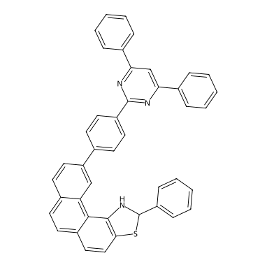 c1ccc(-c2cc(-c3ccccc3)nc(-c3ccc(-c4ccc5ccc6ccc7c(c6c5c4)NC(c4ccccc4)S7)cc3)n2)cc1